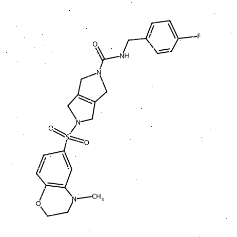 CN1CCOc2ccc(S(=O)(=O)N3CC4=C(CN(C(=O)NCc5ccc(F)cc5)C4)C3)cc21